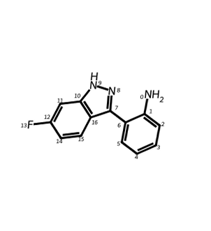 Nc1ccccc1-c1n[nH]c2cc(F)ccc12